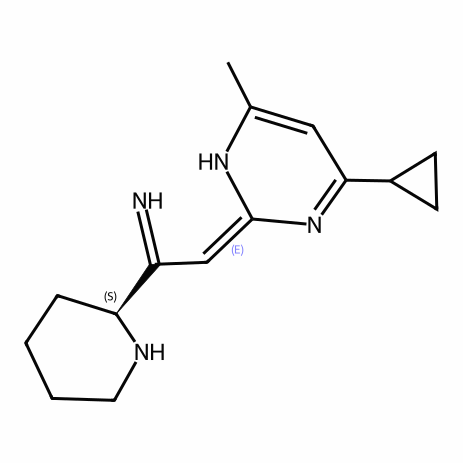 CC1=CC(C2CC2)=N/C(=C/C(=N)[C@@H]2CCCCN2)N1